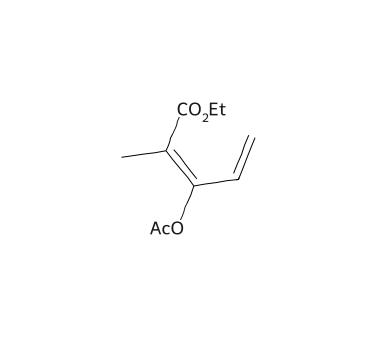 C=CC(OC(C)=O)=C(C)C(=O)OCC